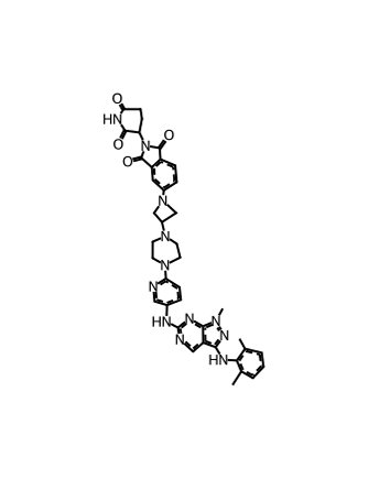 Cc1cccc(C)c1Nc1nn(C)c2nc(Nc3ccc(N4CCN(C5CN(c6ccc7c(c6)C(=O)N(C6CCC(=O)NC6=O)C7=O)C5)CC4)nc3)ncc12